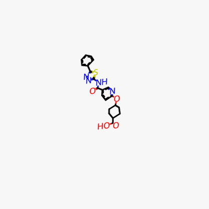 O=C(Nc1nnc(-c2ccccc2)s1)c1ccc(OC2CCC(C(=O)O)CC2)nc1